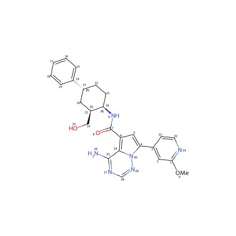 COc1cc(-c2cc(C(=O)N[C@@H]3CC[C@@H](c4ccccc4)C[C@@H]3CO)c3c(N)ncnn23)ccn1